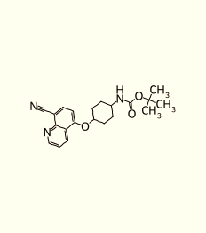 CC(C)(C)OC(=O)NC1CCC(Oc2ccc(C#N)c3ncccc23)CC1